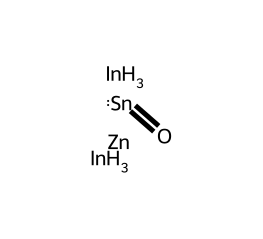 [InH3].[InH3].[O]=[Sn].[Zn]